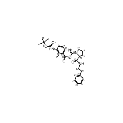 Cc1c(NC(=O)OC(C)(C)C)ccc2nc(N3CCC[C@H]3C(=O)NCCc3ccccn3)oc(=O)c12